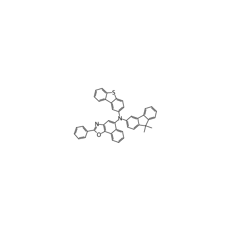 CC1(C)c2ccccc2-c2cc(N(c3ccc4sc5ccccc5c4c3)c3cc4nc(-c5ccccc5)oc4c4ccccc34)ccc21